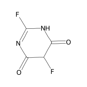 O=C1N=C(F)NC(=O)C1F